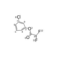 O=C(Oc1cccc(Cl)c1)C(F)F